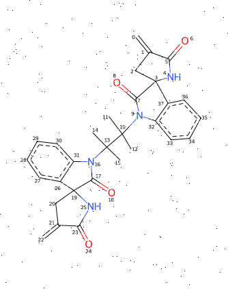 C=C1CC2(NC1=O)C(=O)N(C(C)(C)C(C)(C)N1C(=O)C3(CC(=C)C(=O)N3)c3ccccc31)c1ccccc12